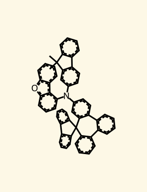 CC1(C)c2ccccc2-c2ccc(N(c3ccc4c(c3)C3(c5ccccc5-c5ccccc5-4)c4ccccc4-c4ccccc43)c3cccc4oc5ccccc5c34)cc21